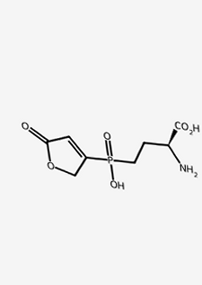 N[C@@H](CCP(=O)(O)C1=CC(=O)OC1)C(=O)O